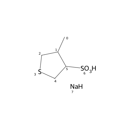 CC1CSCC1S(=O)(=O)O.[NaH]